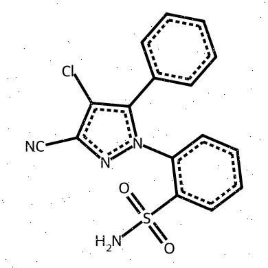 N#Cc1nn(-c2ccccc2S(N)(=O)=O)c(-c2ccccc2)c1Cl